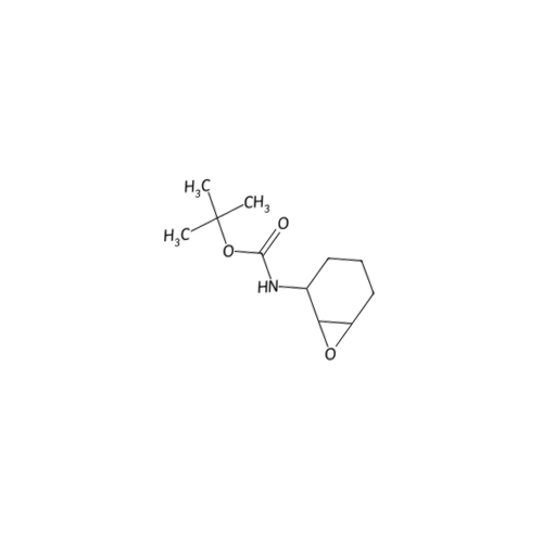 CC(C)(C)OC(=O)NC1CCCC2OC12